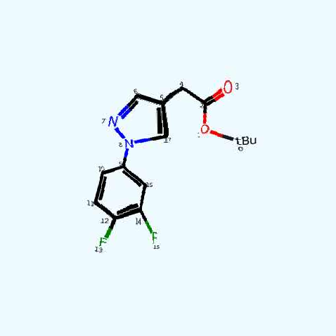 CC(C)(C)OC(=O)Cc1cnn(-c2ccc(F)c(F)c2)c1